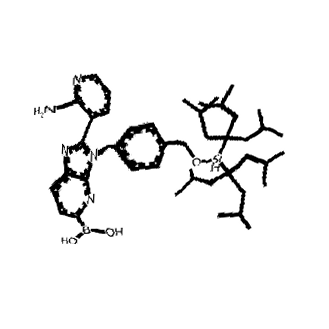 CC(C)CC(CC(C)C)(CC(C)C)[SiH](OCc1ccc(-n2c(-c3cccnc3N)nc3ccc(B(O)O)nc32)cc1)C(CC(C)C)(CC(C)C)CC(C)C